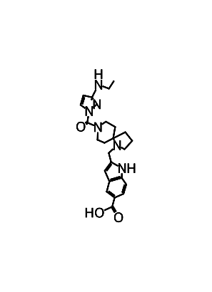 CCNc1ccn(C(=O)N2CCC3(CCCN3Cc3cc4cc(C(=O)O)ccc4[nH]3)CC2)n1